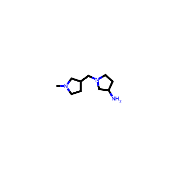 CN1CCC(CN2CCC(N)C2)C1